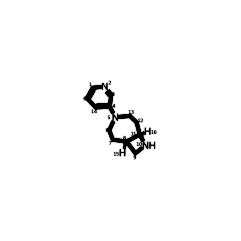 c1cncc(N2CC[C@H]3CN[C@H]3CC2)c1